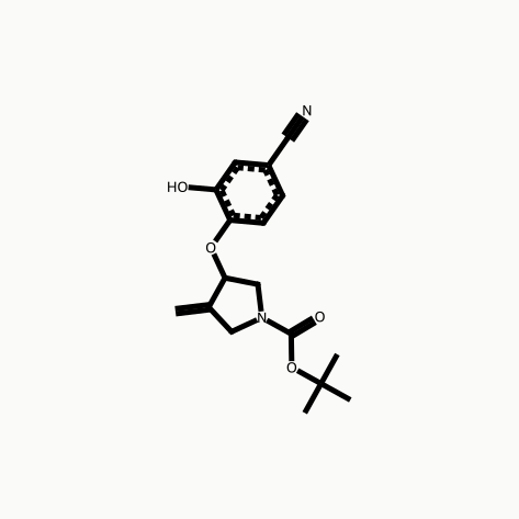 C=C1CN(C(=O)OC(C)(C)C)CC1Oc1ccc(C#N)cc1O